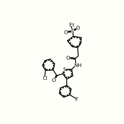 CCS(=O)(=O)c1ccc(CC(=O)Nc2cc(-c3cccc(F)c3)c(C(=O)c3ccccc3Cl)s2)cc1